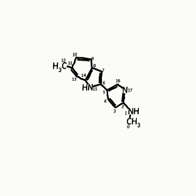 CNc1ccc(-c2cc3ccc(C)cc3[nH]2)cn1